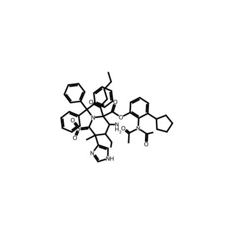 CCCCC(=O)C1(C(=O)Oc2cccc(C3CCCC3)c2N(C(C)=O)C(C)=O)C(N)C(CC)C(C)(c2c[nH]cn2)C(=S(=O)=O)N1C(c1ccccc1)(c1ccccc1)c1ccccc1